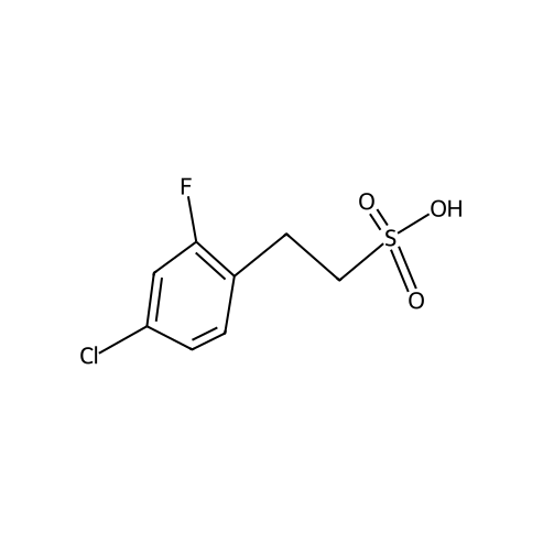 O=S(=O)(O)CCc1ccc(Cl)cc1F